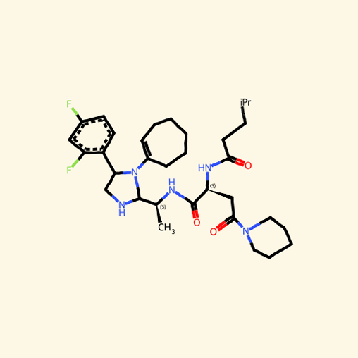 CC(C)CCC(=O)N[C@@H](CC(=O)N1CCCCC1)C(=O)N[C@@H](C)C1NCC(c2ccc(F)cc2F)N1C1=CCCCCC1